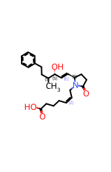 C[C@@H](CCc1ccccc1)[C@H](O)/C=C/[C@H]1CCC(=O)N1C/C=C\CCCC(=O)O